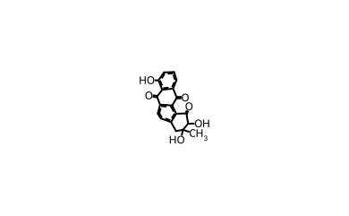 CC1(O)Cc2ccc3c(c2C(=O)C1O)C(=O)c1cccc(O)c1C3=O